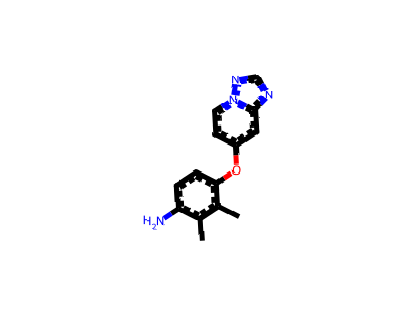 Cc1c(N)ccc(Oc2ccn3ncnc3c2)c1C